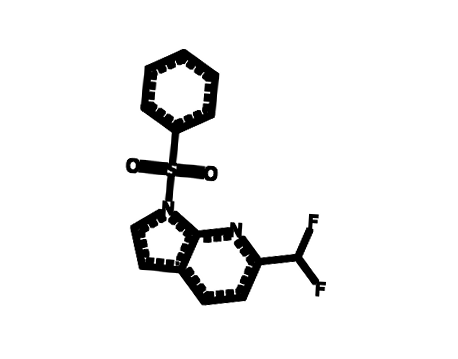 O=S(=O)(c1ccccc1)n1ccc2ccc(C(F)F)nc21